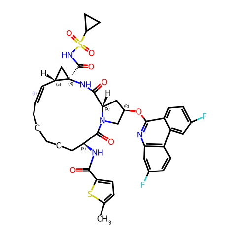 Cc1ccc(C(=O)N[C@H]2CCCCC/C=C\[C@@H]3C[C@@]3(C(=O)NS(=O)(=O)C3CC3)NC(=O)[C@@H]3C[C@@H](Oc4nc5cc(F)ccc5c5cc(F)ccc45)CN3C2=O)s1